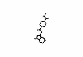 CNC(C)N1CCC(NCc2c[nH]c3ccccc23)CC1